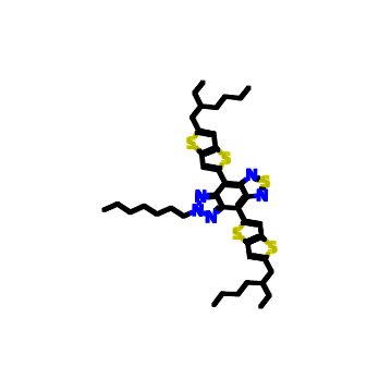 CCCCCCCn1nc2c(-c3cc4sc(CC(CC)CCCC)cc4s3)c3c(c(-c4cc5sc(CC(CC)CCCC)cc5s4)c2n1)N=S=N3